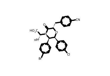 CCC[C@H](C(=O)O)N1C(=O)[C@H](Cc2ccc(C#N)cc2)O[C@@H](c2ccc(Cl)cc2)[C@H]1c1ccc(Br)cc1